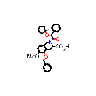 COc1ccc2c(c1OCc1ccccc1)CC(C(=O)O)N(C(=O)C(OC1(C)CCCC1)c1ccccc1)C2